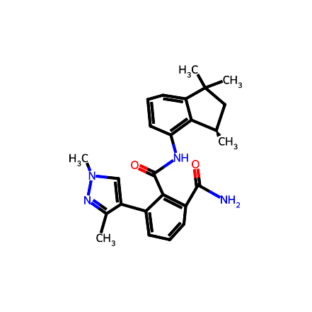 Cc1nn(C)cc1-c1cccc(C(N)=O)c1C(=O)Nc1cccc2c1[C@H](C)CC2(C)C